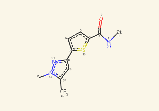 CCNC(=O)c1ccc(-c2cc(C(F)(F)F)n(C)n2)s1